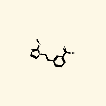 CSc1nccn1CCc1cccc(C(=O)O)c1